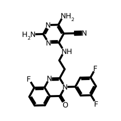 N#Cc1c(N)nc(N)nc1NCCc1nc2c(F)cccc2c(=O)n1-c1cc(F)cc(F)c1